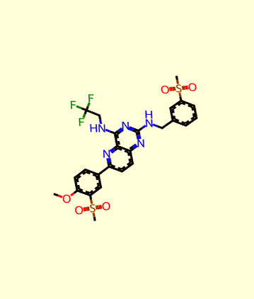 COc1ccc(-c2ccc3nc(NCc4cccc(S(C)(=O)=O)c4)nc(NCC(F)(F)F)c3n2)cc1S(C)(=O)=O